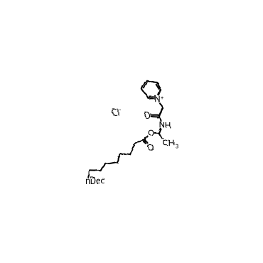 CCCCCCCCCCCCCCCCCC(=O)OC(C)NC(=O)C[n+]1ccccc1.[Cl-]